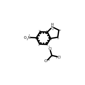 ClC(Cl)Cl.O=[N+]([O-])c1ccc2c(c1)NCC2